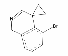 Brc1cccc2c1C1(C=NC2)CC1